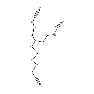 N#CCCCCCC(CCCC#N)CCCC#N